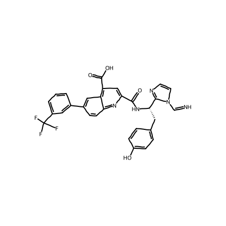 N=Cn1ccnc1[C@H](Cc1ccc(O)cc1)NC(=O)c1cc(C(=O)O)c2cc(-c3cccc(C(F)(F)F)c3)ccc2n1